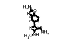 CNC1N=C(c2ccc3oc(N)nc3c2)/C1=C/N